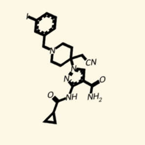 N#CCC1(n2cc(C(N)=O)c(NC(=O)C3CC3)n2)CCN(Cc2cccc(I)c2)CC1